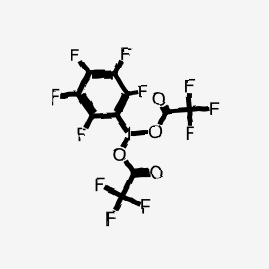 O=C(OI(OC(=O)C(F)(F)F)c1c(F)c(F)c(F)c(F)c1F)C(F)(F)F